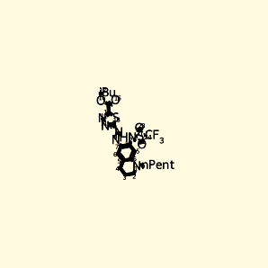 CCCCCN1CCCc2cc(N=Nc3nnc(C(=O)OC(C)CC)s3)c(NS(=O)(=O)C(F)(F)F)cc21